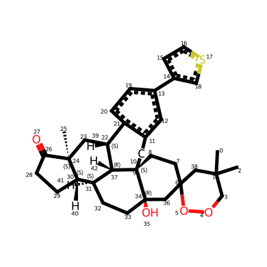 CC1(C)COOC2(CC[C@@]34Cc5cc(-c6ccsc6)ccc5[C@H]5C[C@]6(C)C(=O)CC[C@H]6[C@H](CC[C@@]3(O)C2)[C@H]54)C1